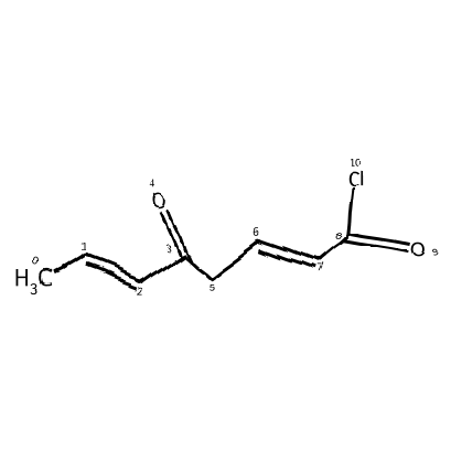 C/C=C/C(=O)C/C=C/C(=O)Cl